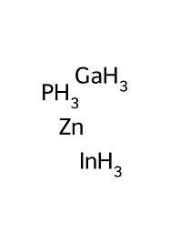 P.[GaH3].[InH3].[Zn]